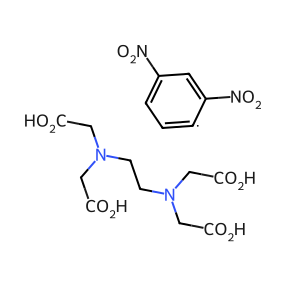 O=C(O)CN(CCN(CC(=O)O)CC(=O)O)CC(=O)O.O=[N+]([O-])c1[c]ccc([N+](=O)[O-])c1